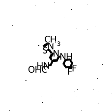 Cc1csc(-c2cc(CNC=O)cc(NC3CCC(F)(F)CC3)n2)n1